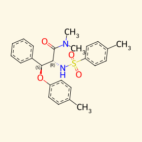 Cc1ccc(O[C@@H](c2ccccc2)[C@@H](NS(=O)(=O)c2ccc(C)cc2)C(=O)N(C)C)cc1